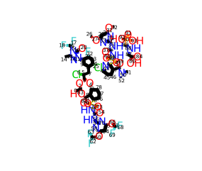 CCOC(=O)C(Cl)Cc1cc(-n2nc(C)n(C(F)F)c2=O)c(F)cc1Cl.COc1cc(OC)nc(NC(=O)NS(=O)(=O)c2ncccc2C(=O)N(C)C)n1.O=C(Nc1nc(OC(F)F)cc(OC(F)F)n1)NS(=O)(=O)c1ccccc1C(=O)O.O=C(O)CNCP(=O)(O)O